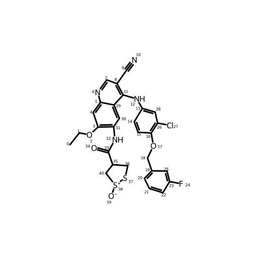 CCOc1cc2ncc(C#N)c(Nc3ccc(OCc4cccc(F)c4)c(Cl)c3)c2cc1NC(=O)C1CS[S+]([O-])C1